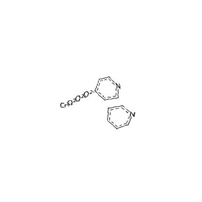 [Cr+6].[O-2].[O-2].[O-2].c1ccncc1.c1ccncc1